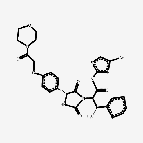 CC(=O)c1csc(NC(=O)C([C@@H](C)c2ccccc2)N2C(=O)N[C@H](c3ccc(OCC(=O)N4CCOCC4)cc3)C2=O)n1